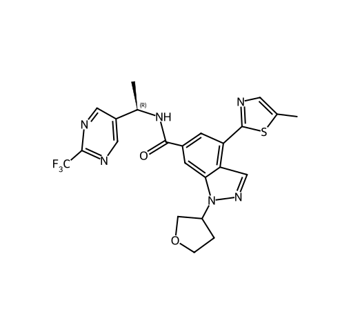 Cc1cnc(-c2cc(C(=O)N[C@H](C)c3cnc(C(F)(F)F)nc3)cc3c2cnn3C2CCOC2)s1